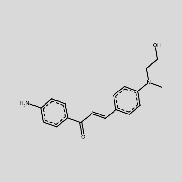 CN(CCO)c1ccc(/C=C/C(=O)c2ccc(N)cc2)cc1